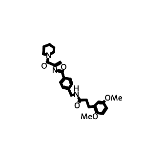 COc1ccc(OC)c(CCC(=O)NCc2ccc(-c3nc(C(=O)N4CCCCC4)co3)cc2)c1